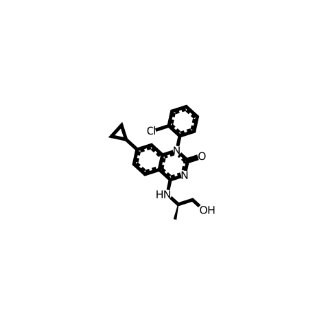 C[C@H](CO)Nc1nc(=O)n(-c2ccccc2Cl)c2cc(C3CC3)ccc12